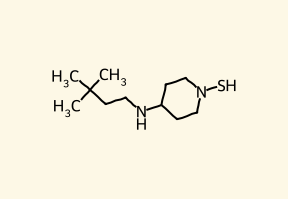 CC(C)(C)CCNC1CCN(S)CC1